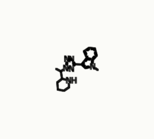 CC(C1CCCCN1)n1nnc(-c2cn(C)c3ccccc23)n1